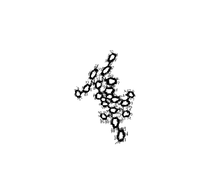 c1ccc(-c2ccc(N(c3ccccc3)c3cc(-c4ccc5c(c4)C4(c6ccccc6-c6ccccc64)c4cc(-c6cc(N(c7ccccc7)c7ccc(-c8ccccc8)cc7)cc(N(c7ccccc7)c7ccc(-c8ccccc8)cc7)c6)ccc4-5)cc(N(c4ccccc4)c4ccc(-c5ccccc5)cc4)c3)cc2)cc1